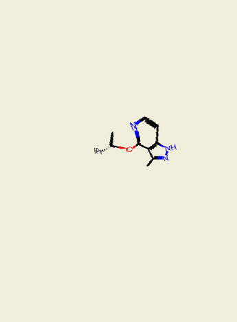 Cc1n[nH]c2ccnc(O[C@@H](C)C(C)C)c12